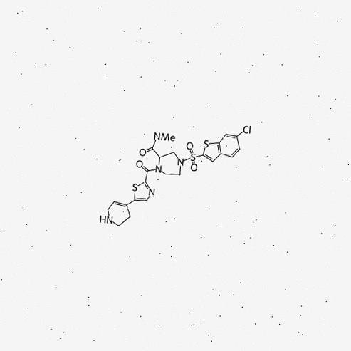 CNC(=O)C1CN(S(=O)(=O)c2cc3ccc(Cl)cc3s2)CCN1C(=O)c1ncc(C2=CCNCC2)s1